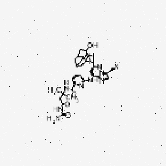 CC(C)(CC(=O)NC(N)=O)NC(=O)c1cccc(Nc2cc(NC34CC5CC(CC(O)(C5)C3)C4)nn3c(C#N)cnc23)n1